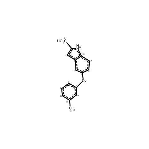 O=C(O)c1cc2cc(Oc3cccc(C(F)(F)F)c3)ccc2[nH]1